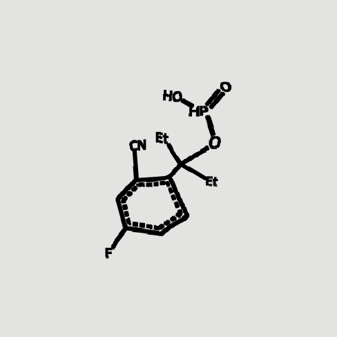 CCC(CC)(O[PH](=O)O)c1ccc(F)cc1C#N